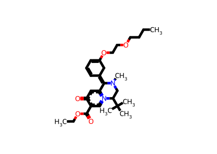 CCCCOCCOC1=CC=C/C(=C2\c3cc(=O)c(C(=O)OCC)cn3C(C(C)(C)C)CN2C)C1